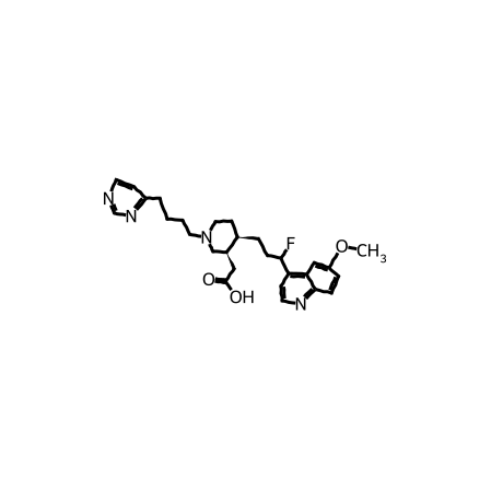 COc1ccc2nccc(C(F)CC[C@@H]3CCN(CCCCc4ccncn4)C[C@@H]3CC(=O)O)c2c1